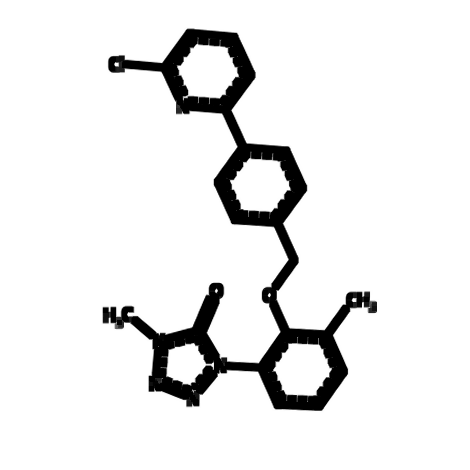 Cc1cccc(-n2nnn(C)c2=O)c1OCc1ccc(-c2cccc(Cl)n2)cc1